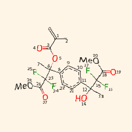 C=C(C)C(=O)OC(C)(c1ccc(C(C)(O)C(F)(F)C(=O)OC)cc1)C(F)(F)C(=O)OC